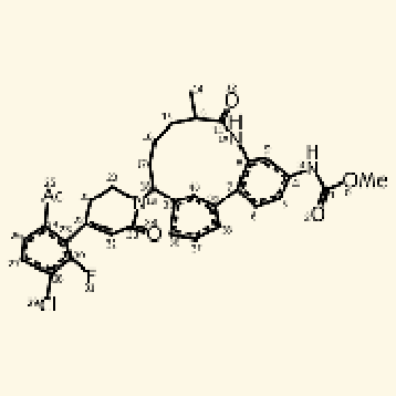 COC(=O)Nc1ccc2c(c1)NC(=O)C(C)CCCC(N1CCC(c3c(C(C)=O)ccc(Cl)c3F)=CC1=O)c1cccc-2c1